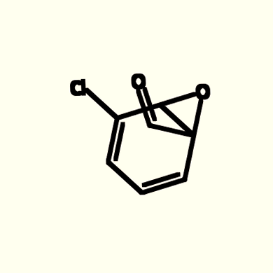 O=CC12C=CC=C(Cl)C1O2